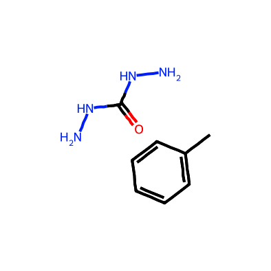 Cc1ccccc1.NNC(=O)NN